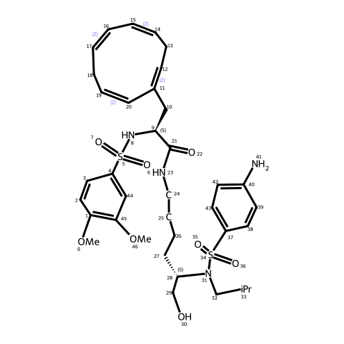 COc1ccc(S(=O)(=O)N[C@@H](CC2=C/C/C=C\C=C/C/C=C\2)C(=O)NCCCC[C@@H](CO)N(CC(C)C)S(=O)(=O)c2ccc(N)cc2)cc1OC